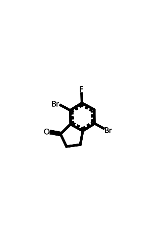 O=C1CCc2c(Br)cc(F)c(Br)c21